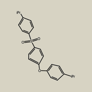 CC(C)c1ccc(Oc2ccc(S(=O)(=O)c3ccc(C(C)C)cc3)cc2)cc1